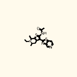 CCN1C(C)Cc2c(sc(NC(C)=O)c2-c2nc3cnccc3s2)C1C